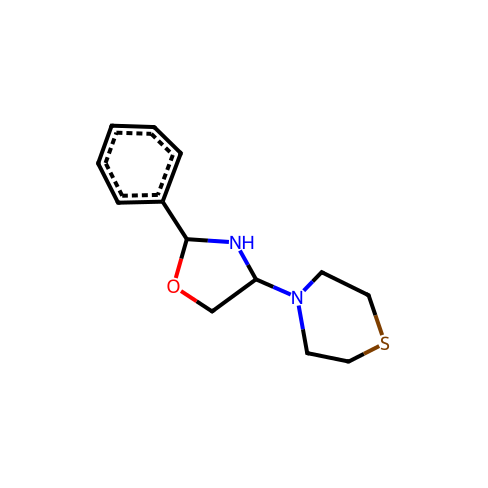 c1ccc(C2NC(N3CCSCC3)CO2)cc1